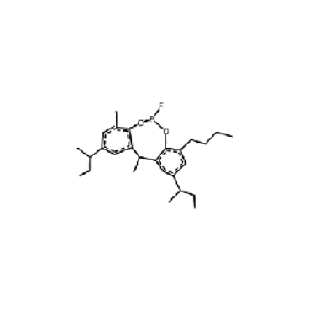 CCCCc1cc(C(C)CC)cc2c1OP(F)Oc1c(C)cc(C(C)CC)cc1C2C